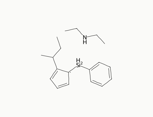 CCC(C)C1=CC=C[C]1[SiH2]c1ccccc1.CCNCC